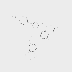 O=C(O)CC(Cc1cc(OCCc2ccc3c(n2)NCCN3)n(C2=CCC(C(F)(F)F)C=C2)n1)c1ccc2c(c1)OCO2